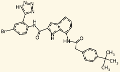 CC(C)(C)c1ccc(CC(=O)Nc2cccc3cc(C(=O)Nc4ccc(Br)cc4-c4nnn[nH]4)[nH]c23)cc1